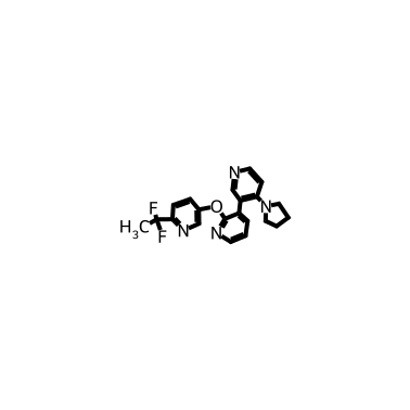 CC(F)(F)c1ccc(Oc2ncccc2-c2cnccc2N2CCCC2)cn1